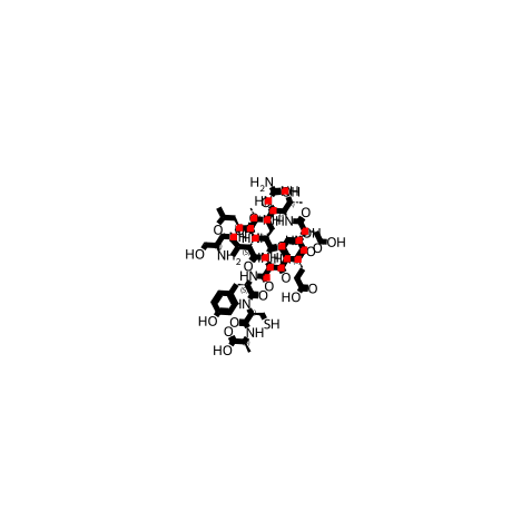 CC(C)C[C@H](NC(=O)[C@@H](N)CO)C(=O)N[C@@H](CCCNC(=N)N)C(=O)N[C@@H](C)C(=O)N[C@@H](CCC(=O)O)C(=O)N[C@@H](CC(=O)O)C(=O)N[C@H](C(=O)N[C@@H](C)C(=O)N[C@H](C(=O)N[C@@H](Cc1ccc(O)cc1)C(=O)N[C@@H](Cc1ccc(O)cc1)C(=O)N[C@@H](CS)C(=O)N[C@@H](C)C(=O)O)C(C)C)[C@@H](C)O